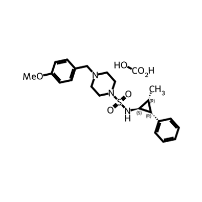 COc1ccc(CN2CCN(S(=O)(=O)N[C@H]3[C@H](C)[C@@H]3c3ccccc3)CC2)cc1.O=C(O)O